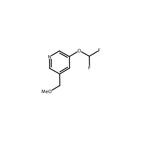 COCc1cncc(OC(F)F)c1